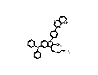 C=CC=C=Cc1c(C)n(-c2ccc(-c3cnc4c(n3)NCC=C4)cc2)c2ccc(N(c3ccccc3)c3ccccc3)cc12